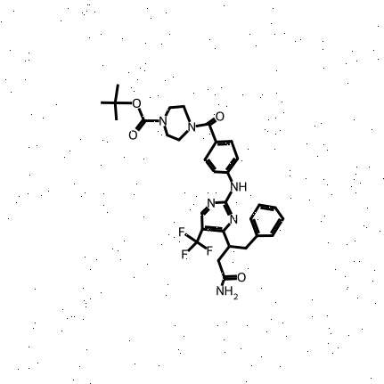 CC(C)(C)OC(=O)N1CCN(C(=O)c2ccc(Nc3ncc(C(F)(F)F)c(C(CC(N)=O)Cc4ccccc4)n3)cc2)CC1